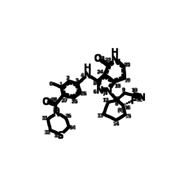 Cc1cc(Nc2nn([C@@]3(CC#N)CCCC[C@H]3F)c3cc[nH]c(=O)c23)ccc1C(=O)N1CCSCC1